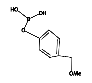 COCc1ccc(OB(O)O)cc1